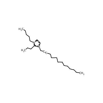 CCCCCCCCCCCCCCn1cc[n+](CCCCC)c1CCC